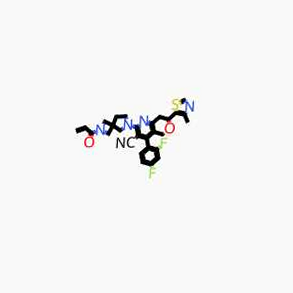 C=CC(=O)N1CC2(CCN(c3nc4c(c(-c5ccc(F)cc5F)c3C#N)COC(c3scnc3C)C4)C2)C1